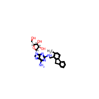 Cc1ccc2c(c1CNc1nc(N)c3ncn([C@@H]4O[C@H](CO)[C@@H](O)[C@H]4O)c3n1)Cc1ccccc1-2